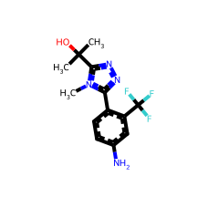 Cn1c(-c2ccc(N)cc2C(F)(F)F)nnc1C(C)(C)O